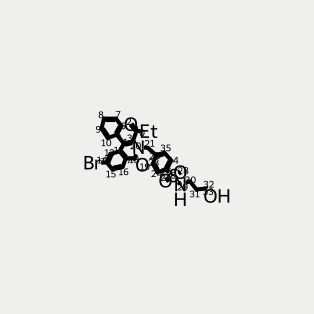 CCC(=O)c1c(-c2ccccc2)c2cc(Br)ccc2c(=O)n1Cc1ccc(S(=O)(=O)NCCCO)cc1